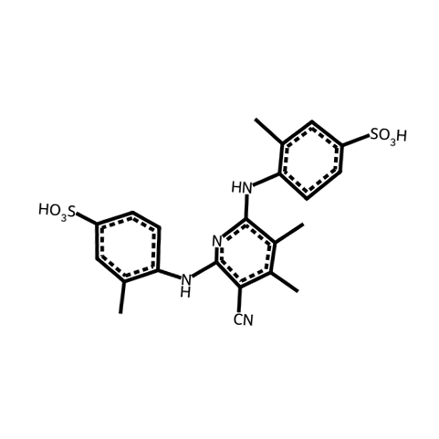 Cc1cc(S(=O)(=O)O)ccc1Nc1nc(Nc2ccc(S(=O)(=O)O)cc2C)c(C#N)c(C)c1C